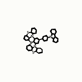 C1=CC2=C(CC1)N1c3cc(-c4ccc(-n5c6ccccc6c6ccccc65)cc4)cc4c3B(c3cccc(c31)S2)c1cccc2c1N4c1ccccc1S2